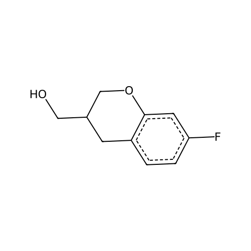 OCC1COc2cc(F)ccc2C1